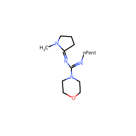 CCCCCN=C(N=C1CCCN1C)N1CCOCC1